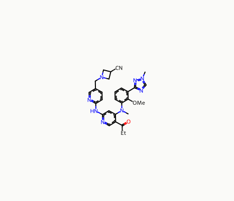 CCC(=O)c1cnc(Nc2ccc(CN3CC(C#N)C3)cn2)cc1N(C)c1cccc(-c2ncn(C)n2)c1OC